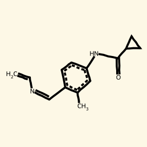 C=C/N=C\c1ccc(NC(=O)C2CC2)cc1C